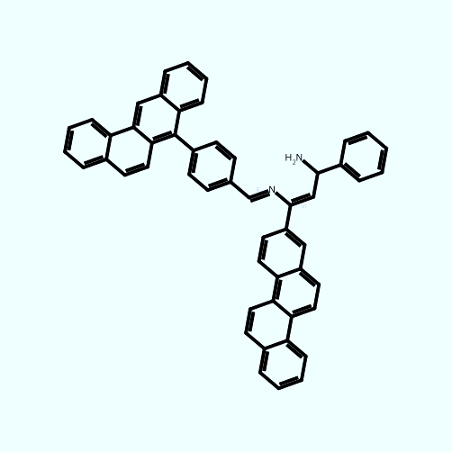 NC(/C=C(\N=C\c1ccc(-c2c3ccccc3cc3c2ccc2ccccc23)cc1)c1ccc2c(ccc3c4ccccc4ccc23)c1)c1ccccc1